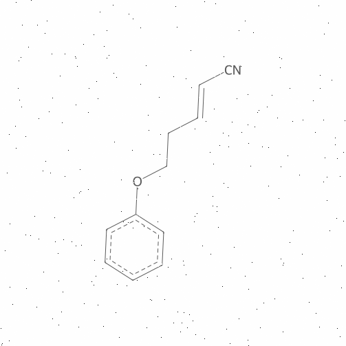 N#CC=CCCOc1ccccc1